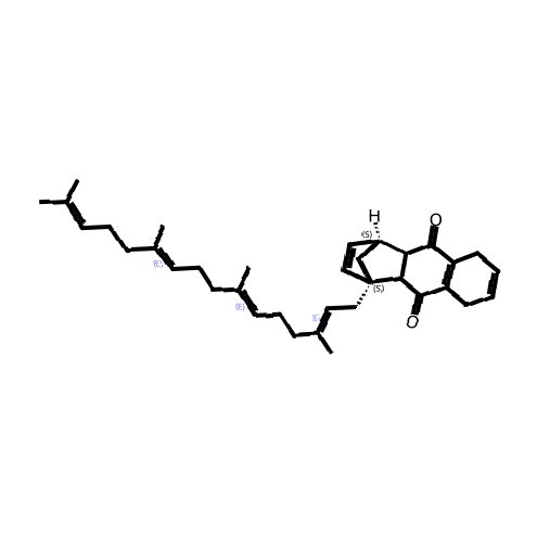 CC(C)=CCC/C(C)=C/CC/C(C)=C/CC/C(C)=C/C[C@]12C=C[C@H](C1)C1C(=O)C3=C(CC=CC3)C(=O)C12